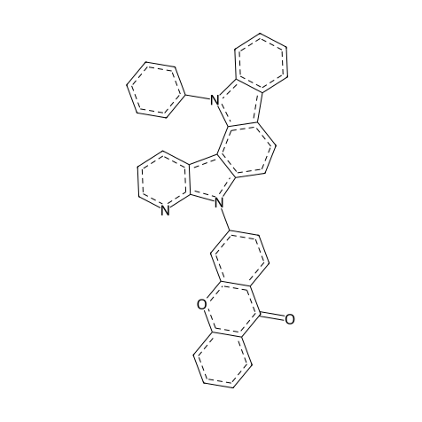 O=c1c2ccccc2oc2cc(-n3c4ccc5c6ccccc6n(-c6ccccc6)c5c4c4cccnc43)ccc12